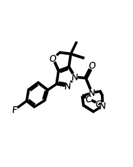 CC1(C)COc2c(-c3ccc(F)cc3)nn(C(=O)N3CCN4CCC3CC4)c21